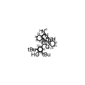 CN(C)c1nc(NC2(NC(=O)Cc3cc(C(C)(C)C)c(O)c(C(C)(C)C)c3)CCCCC2)nc2c1CCCC2